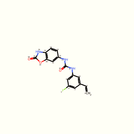 C=Cc1cc(F)cc(NC(=O)Nc2ccc3[nH]c(=O)oc3c2)c1